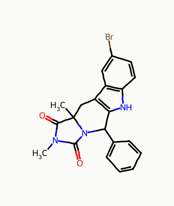 CN1C(=O)N2C(c3ccccc3)c3[nH]c4ccc(Br)cc4c3CC2(C)C1=O